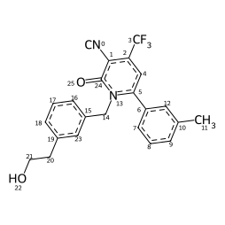 [C-]#[N+]c1c(C(F)(F)F)cc(-c2cccc(C)c2)n(Cc2cccc(CCO)c2)c1=O